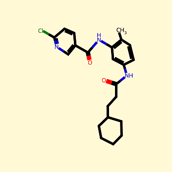 Cc1ccc(NC(=O)CCC2CCCCC2)cc1NC(=O)c1ccc(Cl)nc1